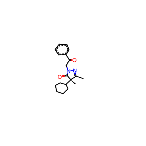 CC1=NN(CC(=O)c2ccccc2)C(=O)[C@@]1(C)C1CCCCC1